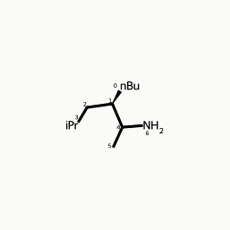 CCCC[C@H](CC(C)C)C(C)N